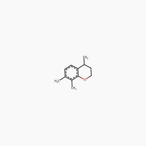 Cc1ccc2c(c1C)OCCC2C